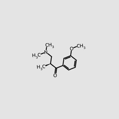 COc1cccc(C(=O)[C@@H](C)CN(C)C)c1